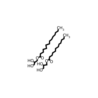 CCCCCCCCCCCC(=O)OCC(O)CO.CCCCCCCCCCCCCC(=O)OCC(O)CO